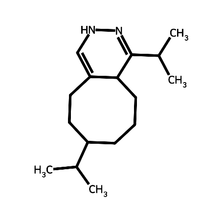 CC(C)C1=NNC=C2CCC(C(C)C)CCCC21